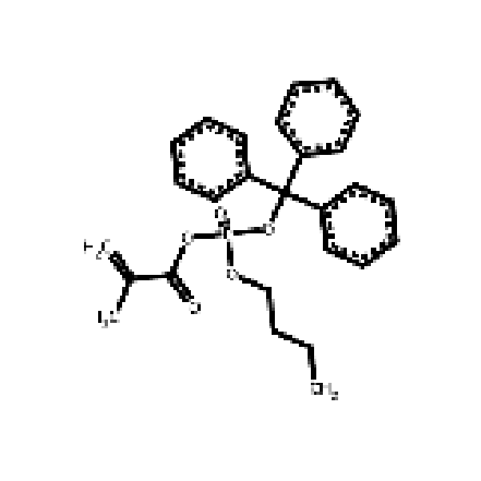 C=C(C)C(=O)OP(=O)(OCCCC)OC(c1ccccc1)(c1ccccc1)c1ccccc1